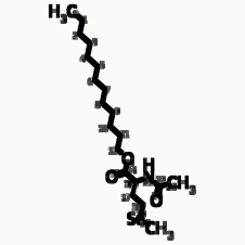 CCCCCCCCCCCCCOC(=O)[C@H](CC[Se]C)NC(C)=O